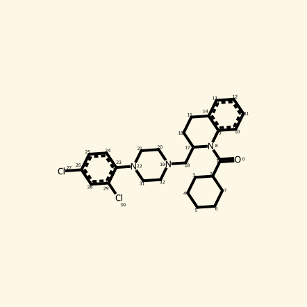 O=C(C1CCCCC1)N1c2ccccc2CCC1CN1CCN(c2ccc(Cl)cc2Cl)CC1